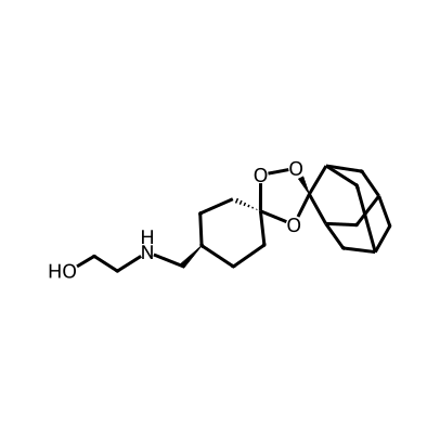 OCCNC[C@H]1CC[C@]2(CC1)OO[C@]1(O2)C2CC3CC(C2)CC1C3